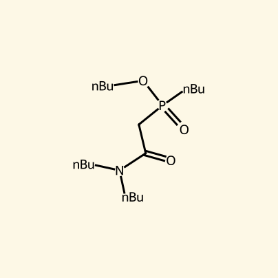 CCCCOP(=O)(CCCC)CC(=O)N(CCCC)CCCC